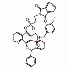 O=C1c2c(c(OS(=O)(=O)CCN3C(=O)c4ccccc4C3=O)c3cccnc3c2OC(c2ccccc2)c2ccccc2)CN1Cc1ccc(F)cc1